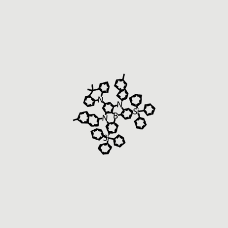 Cc1ccc2cc(N3c4cc([Si](c5ccccc5)(c5ccccc5)c5ccccc5)ccc4B4c5ccc([Si](c6ccccc6)(c6ccccc6)c6ccccc6)cc5N(c5ccc6cc(C)ccc6c5)c5cc(N6c7ccccc7C(C)(C)c7ccccc76)cc3c54)ccc2c1